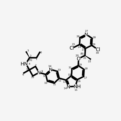 CC[C@H](C)NC1(C)CN(c2ccc(-c3n[nH]c4ccc(O[C@H](C)c5c(Cl)cncc5Cl)cc34)cn2)C1